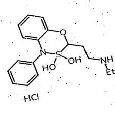 CCNCCC1Oc2ccccc2N(c2ccccc2)S1(O)O.Cl